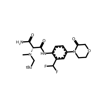 CN(CC(C)(C)C)[C@H](C(N)=O)C(=O)Nc1ccc(N2CCOCC2=O)cc1C(F)F